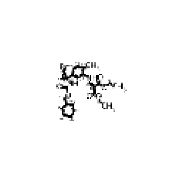 CCOC(=O)C(=CNc1cc(C2(NC(=O)OCc3ccccc3)CC2Br)ccc1C)C(=O)OCC